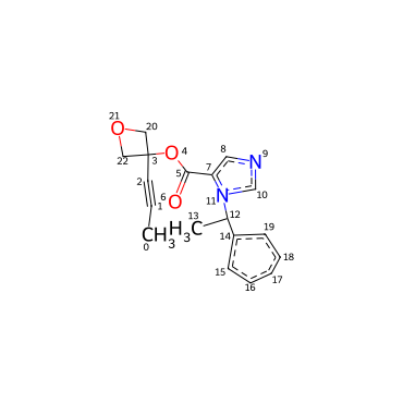 CC#CC1(OC(=O)c2cncn2C(C)c2ccccc2)COC1